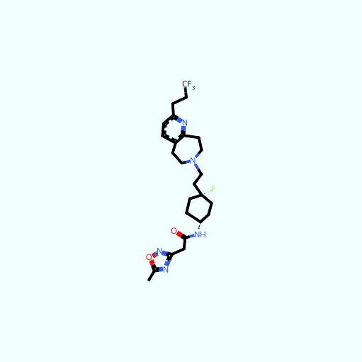 Cc1nc(CC(=O)N[C@H]2CC[C@](F)(CCN3CCc4ccc(CCC(F)(F)F)nc4CC3)CC2)no1